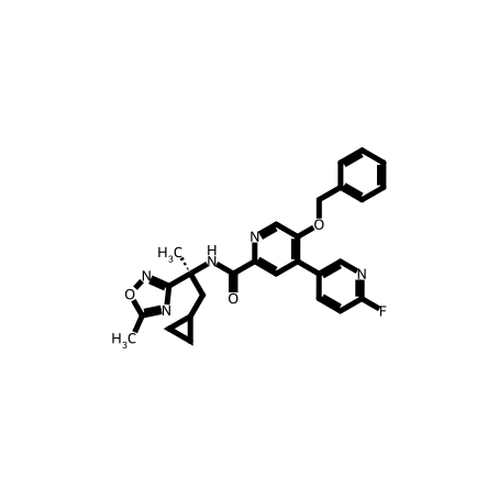 Cc1nc([C@](C)(CC2CC2)NC(=O)c2cc(-c3ccc(F)nc3)c(OCc3ccccc3)cn2)no1